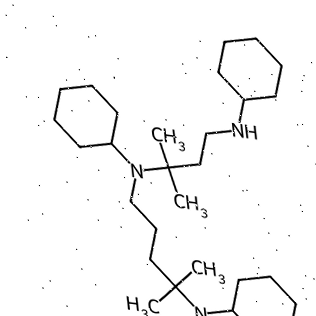 CC(C)(CCCN(C1CCCCC1)C(C)(C)CCNC1CCCCC1)NC1CCCCC1